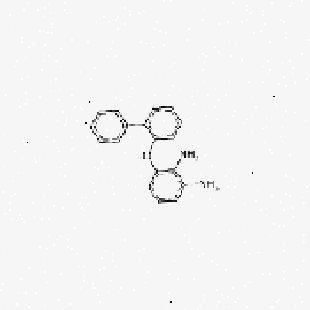 Nc1cccc(Oc2ccccc2-c2ccccc2)c1N